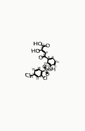 O=C(O)C(O)=CC(=O)c1cccc(NS(=O)(=O)c2ccc(Cl)cc2Cl)c1